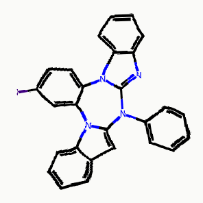 Ic1ccc2c(c1)n1c3ccccc3cc1n(-c1ccccc1)c1nc3ccccc3n21